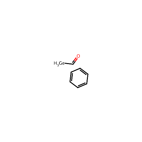 O=[CH][GeH3].c1ccccc1